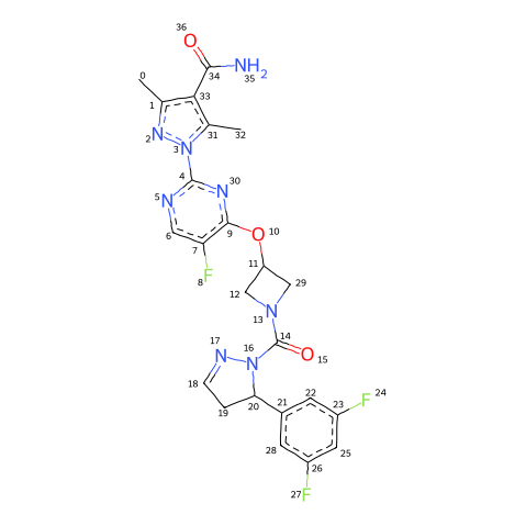 Cc1nn(-c2ncc(F)c(OC3CN(C(=O)N4N=CCC4c4cc(F)cc(F)c4)C3)n2)c(C)c1C(N)=O